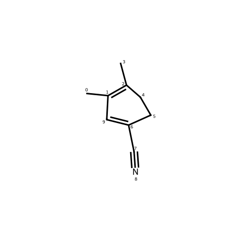 CC1=C(C)CCC(C#N)=C1